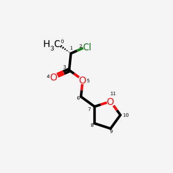 C[C@H](Cl)C(=O)OCC1CCCO1